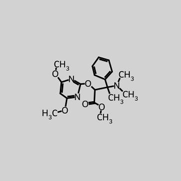 COC(=O)C(Oc1nc(OC)cc(OC)n1)C(C)(c1ccccc1)N(C)C